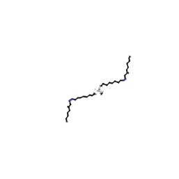 CCCCCC[C@@H](O)C/C=C\CCCCCCCC(=O)OS(=O)(=O)OC(=O)CCCCCCC/C=C\C[C@H](O)CCCCCC